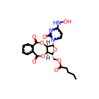 CCCCC(=O)OC[C@H]1O[C@@H](n2ccc(NO)nc2=O)[C@@H]2OC(=O)c3ccccc3C(=O)O[C@@H]21